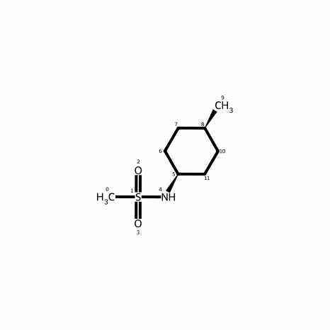 CS(=O)(=O)N[C@H]1CC[C@@H](C)CC1